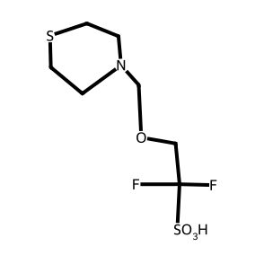 O=S(=O)(O)C(F)(F)COCN1CCSCC1